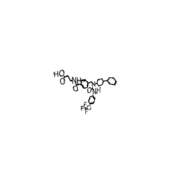 O=C(O)CCNC(=O)c1ccc(CN(C(=O)Nc2ccc(OC(F)(F)F)cc2)C2CCC(C3CCCCC3)CC2)cc1